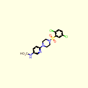 O=C(O)Nc1ccc(N2CCN(S(=O)(=O)c3cc(Cl)ccc3Cl)CC2)nc1